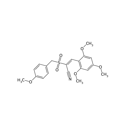 COc1ccc(CS(=O)(=O)/C(C#N)=C/c2c(OC)cc(OC)cc2OC)cc1